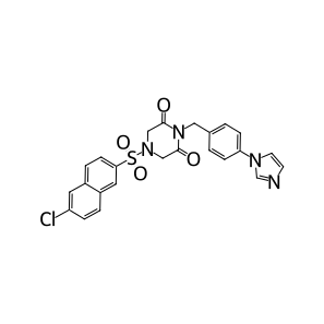 O=C1CN(S(=O)(=O)c2ccc3cc(Cl)ccc3c2)CC(=O)N1Cc1ccc(-n2ccnc2)cc1